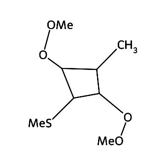 COOC1C(C)C(OOC)C1SC